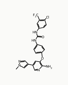 Cn1cc(-c2cnc(N)c(Oc3ccc(NC(=O)Nc4ccc(Cl)c(C(F)(F)F)c4)cc3)c2)cn1